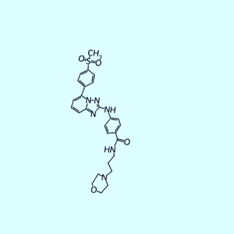 CS(=O)(=O)c1ccc(-c2cccc3nc(Nc4ccc(C(=O)NCCCN5CCOCC5)cc4)nn23)cc1